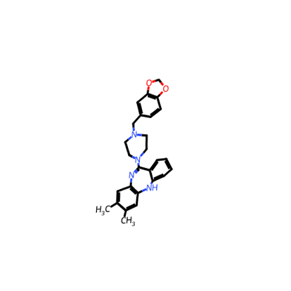 Cc1cc2c(cc1C)Nc1ccccc1C(N1CCN(Cc3ccc4c(c3)OCO4)CC1)=N2